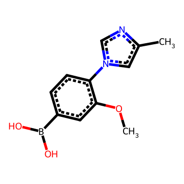 COc1cc(B(O)O)ccc1-n1cnc(C)c1